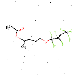 CC(=O)OC(C)CCCOC(F)(F)C(F)(F)C(F)(F)F